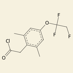 Cc1cc(OC(F)(F)CF)cc(C)c1CC(=O)Cl